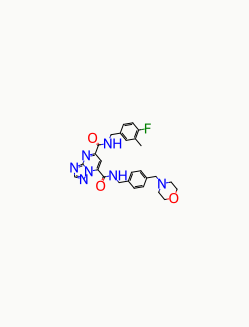 Cc1cc(CNC(=O)c2cc(C(=O)NCc3ccc(CN4CCOCC4)cc3)n3ncnc3n2)ccc1F